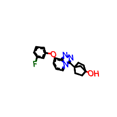 OC12CCC(c3nnc4c(Oc5cccc(F)c5)cccn34)(CC1)C2